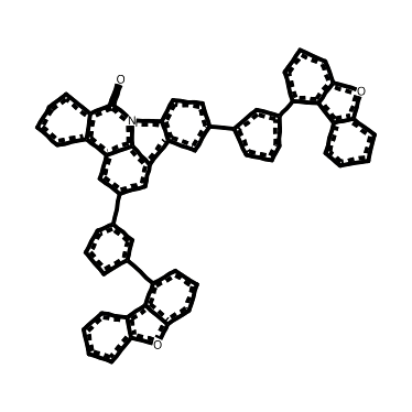 O=c1c2ccccc2c2cc(-c3cccc(-c4cccc5oc6ccccc6c45)c3)cc3c4cc(-c5cccc(-c6cccc7oc8ccccc8c67)c5)ccc4n1c23